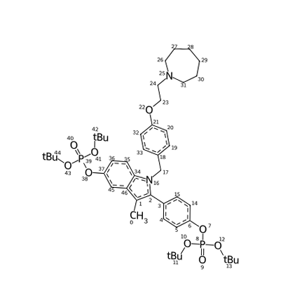 Cc1c(-c2ccc(OP(=O)(OC(C)(C)C)OC(C)(C)C)cc2)n(Cc2ccc(OCCN3CCCCCC3)cc2)c2ccc(OP(=O)(OC(C)(C)C)OC(C)(C)C)cc12